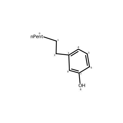 CCCCCCCc1cccc(O)c1